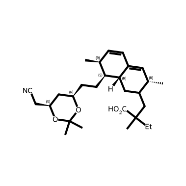 CCC(C)(CC1C[C@H]2C(=C[C@@H]1C)C=C[C@H](C)[C@@H]2CC[C@@H]1C[C@H](CC#N)OC(C)(C)O1)C(=O)O